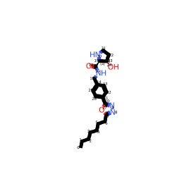 CCCCCCCc1nnc(-c2ccc(CNC(=O)[C@H]3NCC[C@@H]3O)cc2)o1